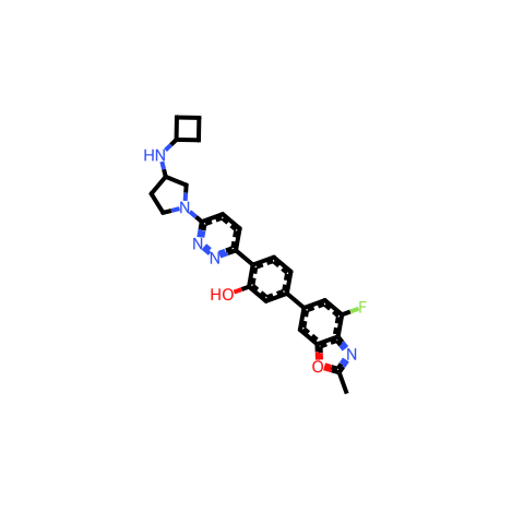 Cc1nc2c(F)cc(-c3ccc(-c4ccc(N5CCC(NC6CCC6)C5)nn4)c(O)c3)cc2o1